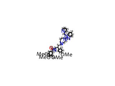 COc1ccc(C(CCN2CCCN(c3nc4ccccc4n3Cc3ccccn3)CC2)CN(C)C(=O)c2cc(OC)c(OC)c(OC)c2)cc1